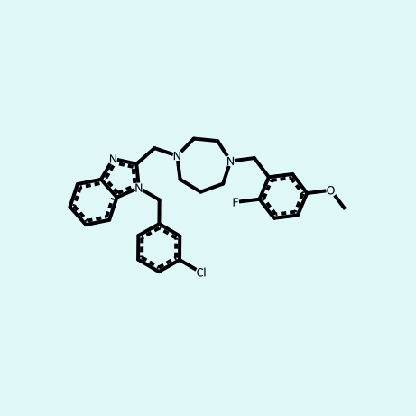 COc1ccc(F)c(CN2CCCN(Cc3nc4ccccc4n3Cc3cccc(Cl)c3)CC2)c1